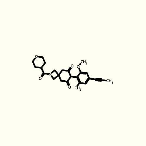 CC#Cc1cc(C)c(C2C(=O)CC3(CC2=O)CN(C(=O)C2CCOCC2)C3)c(OC)c1